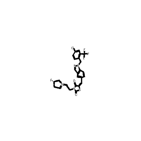 O=C1SC(=Cc2ccc3c(cnn3Cc3ccc(Cl)cc3C(F)(F)F)c2)C(=O)N1CCN1CC[C@H](F)C1